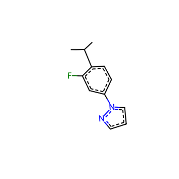 CC(C)c1ccc(-n2cccn2)cc1F